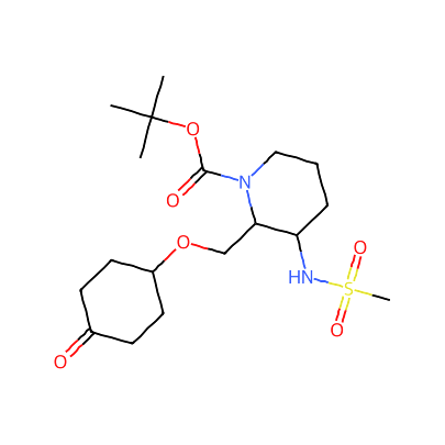 CC(C)(C)OC(=O)N1CCCC(NS(C)(=O)=O)C1COC1CCC(=O)CC1